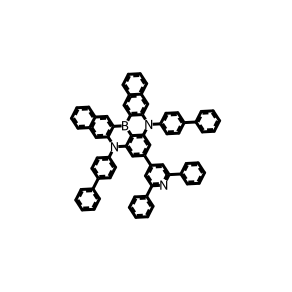 c1ccc(-c2ccc(N3c4cc5ccccc5cc4B4c5cc6ccccc6cc5N(c5ccc(-c6ccccc6)cc5)c5cc(-c6cc(-c7ccccc7)nc(-c7ccccc7)c6)cc3c54)cc2)cc1